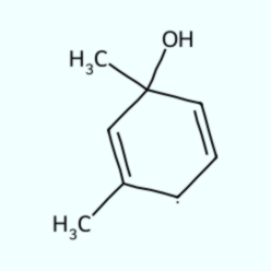 CC1=CC(C)(O)C=C[CH]1